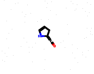 O=C=C1CC=CN1